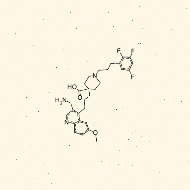 COc1ccc2ncc(CN)c(CCCC3(C(=O)O)CCN(CCCc4cc(F)cc(F)c4F)CC3)c2c1